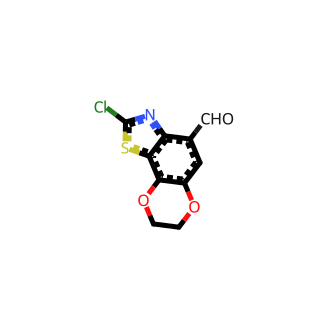 O=Cc1cc2c(c3sc(Cl)nc13)OCCO2